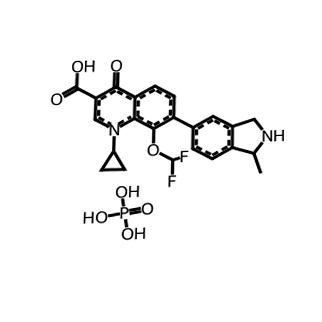 CC1NCc2cc(-c3ccc4c(=O)c(C(=O)O)cn(C5CC5)c4c3OC(F)F)ccc21.O=P(O)(O)O